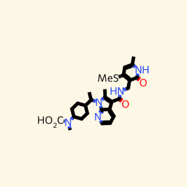 CSc1cc(C)[nH]c(=O)c1CNC(=O)c1c(C)n(C(C)C2CCC(N(C)C(=O)O)CC2)c2ncccc12